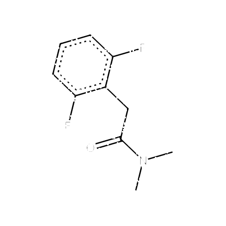 CN(C)C(=O)Cc1c(F)cccc1F